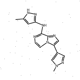 Cc1cc(Nc2nccn3c(-c4cnn(C)c4)cnc23)n[nH]1